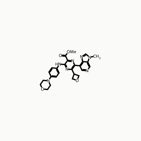 COC(=O)c1nc(-c2cncc3c2ncn3C)c(C2COC2)nc1Nc1ccc(N2CCOCC2)cc1